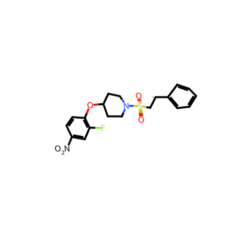 O=[N+]([O-])c1ccc(OC2CCN(S(=O)(=O)C[CH]c3ccccc3)CC2)c(F)c1